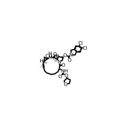 O=C(N[C@H]1CCCCC/C=C\[C@@H]2C[C@@]2(C(=O)O)NC(=O)[C@@H]2C[C@@H](OC(=O)N3Cc4cc(Cl)c(Cl)cc4C3)CN2C1=O)O[C@@H]1CCOC1